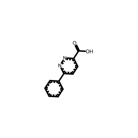 O=C(O)c1ccc(-c2ccccc2)nn1